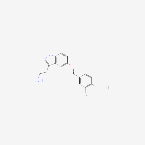 CCCc1cc(COc2ccc3[nH]cc(CCN)c3c2)ccc1C(=O)O